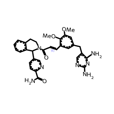 COc1cc(Cc2cnc(N)nc2N)cc(/C=C/C(=O)N2CCc3ccccc3C2c2ccc(C(N)=O)nc2)c1OC